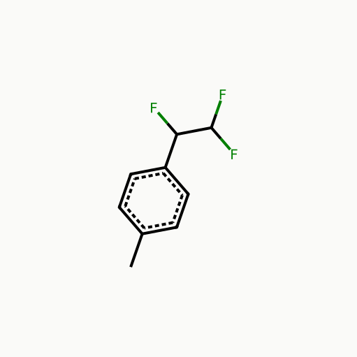 Cc1ccc(C(F)C(F)F)cc1